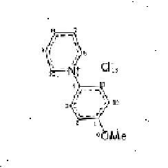 COc1ccc(-[n+]2ccccc2)cc1.[Cl-]